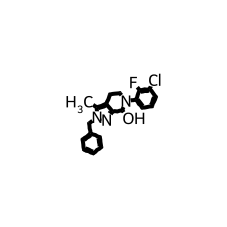 Cc1c2c(nn1Cc1ccccc1)C(O)N(c1cccc(Cl)c1F)CC2